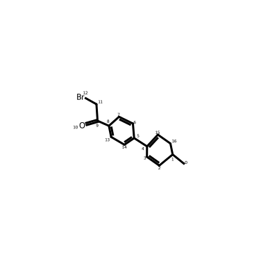 CC1C=CC(c2ccc(C(=O)CBr)cc2)=CC1